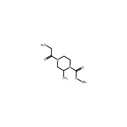 CC(=O)OCC(=O)N1CCN(C(=O)OC(C)(C)C)C(C)C1